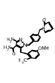 COc1ccc(C(F)(F)F)c(Cc2c(C(N)=O)c(N)nn2Cc2ccc(Cn3ccccc3=O)cc2)c1